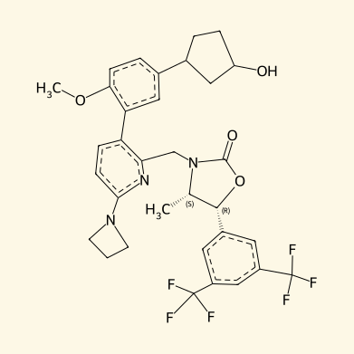 COc1ccc(C2CCC(O)C2)cc1-c1ccc(N2CCC2)nc1CN1C(=O)O[C@H](c2cc(C(F)(F)F)cc(C(F)(F)F)c2)[C@@H]1C